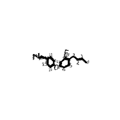 CCCCC1CCC(Oc2ccc(C#N)cc2)=CC1F